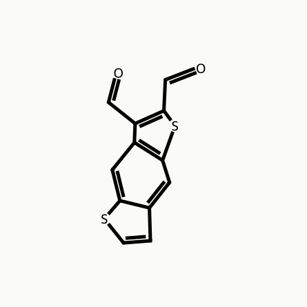 O=Cc1sc2cc3ccsc3cc2c1C=O